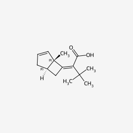 CC(C)(C)C(C(=O)O)=C1C[C@H]2CC=C[C@]12C